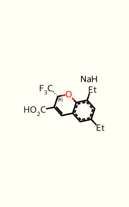 CCc1cc2c(c(CC)c1)O[C@@H](C(F)(F)F)C(C(=O)O)=C2.[NaH]